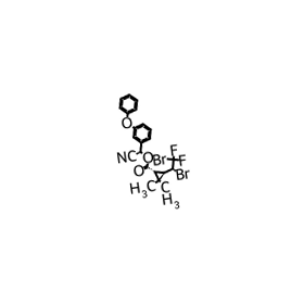 CC1(C)[C@H]([C@H](Br)C(F)(F)Br)[C@H]1C(=O)O[C@@H](C#N)c1cccc(Oc2ccccc2)c1